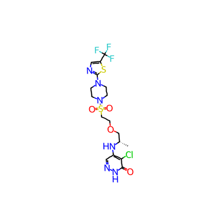 C[C@@H](COCCS(=O)(=O)N1CCN(c2ncc(C(F)(F)F)s2)CC1)Nc1cn[nH]c(=O)c1Cl